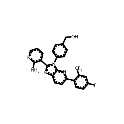 Nc1ncccc1-c1nc2ccc(-c3ccc(F)cc3C(F)(F)F)nc2n1-c1ccc(CO)cc1